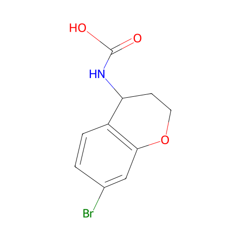 O=C(O)NC1CCOc2cc(Br)ccc21